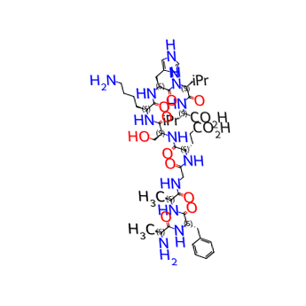 CC(C)[C@H](NC(=O)[C@@H](NC(=O)[C@H](Cc1c[nH]cn1)NC(=O)[C@H](CCCCN)NC(=O)[C@H](CO)NC(=O)[C@H](CCC(=O)O)NC(=O)CNC(=O)[C@H](C)NC(=O)[C@H](Cc1ccccc1)NC(=O)[C@H](C)N)C(C)C)C(=O)O